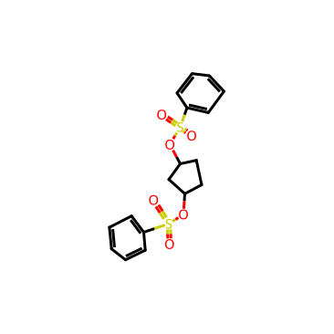 O=S(=O)(OC1CCC(OS(=O)(=O)c2ccccc2)C1)c1ccccc1